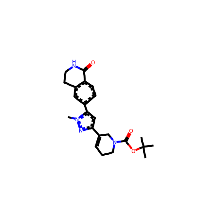 Cn1nc(C2=CCCN(C(=O)OC(C)(C)C)C2)cc1-c1ccc2c(c1)CCNC2=O